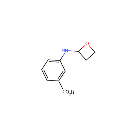 O=C(O)c1cccc(NC2CCO2)c1